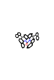 O=C1N2c3c(ccc4ccccc34)B(c3cccc4ccccc34)c3ccc4ccc5c(c4c32)N1c1c(ccc2ccccc12)B5c1cccc2ccccc12